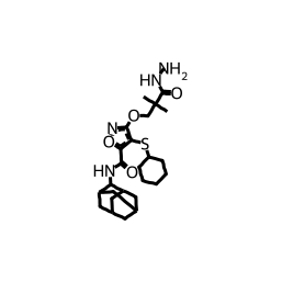 CC(C)(COc1noc(C(=O)NC2C3CC4CC(C3)CC2C4)c1SC1CCCCC1)C(=O)NN